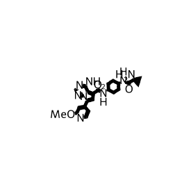 COc1cc(-c2cc(C(=O)N[C@H]3CC[C@H](NC(=O)C4(N)CC4)CC3)c3c(N)ncnn23)ccn1